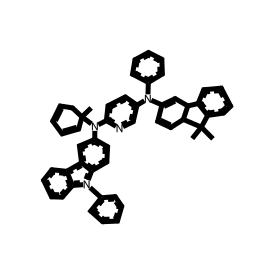 CC1(C)c2ccccc2C2C=C(N(c3ccccc3)c3ccc(N(c4ccc5c(c4)c4ccccc4n5-c4ccccc4)C4(C)C=CC=CC4)nc3)C=CC21